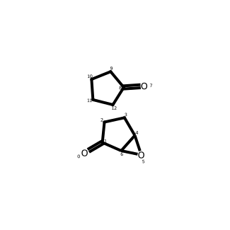 O=C1CCC2OC12.O=C1CCCC1